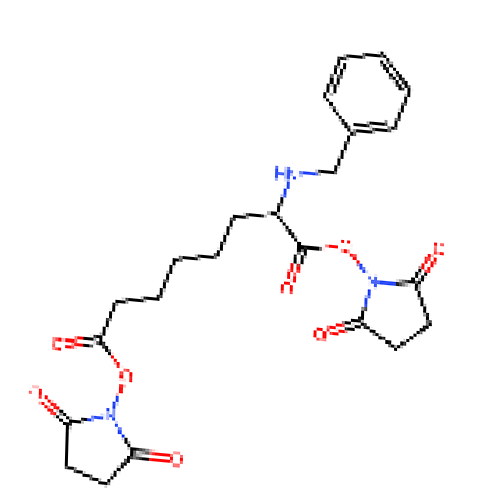 O=C(CCCCCC(NCc1ccccc1)C(=O)ON1C(=O)CCC1=O)ON1C(=O)CCC1=O